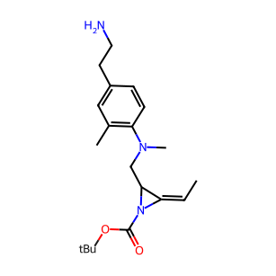 C/C=C1\C(CN(C)c2ccc(CCN)cc2C)N1C(=O)OC(C)(C)C